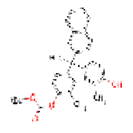 Cc1cc(C(C)(c2ccc(OC(=O)OC(C)(C)C)c(C)c2)c2ccc3ccccc3c2)ccc1O